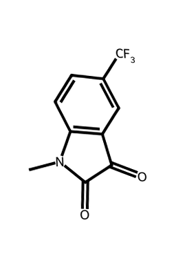 CN1C(=O)C(=O)c2cc(C(F)(F)F)ccc21